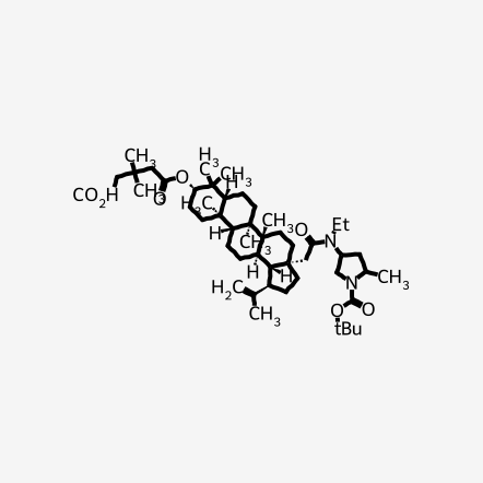 C=C(C)[C@@H]1CC[C@]2(CC(=O)N(CC)C3CC(C)N(C(=O)OC(C)(C)C)C3)CC[C@]3(C)[C@H](CC[C@@H]4[C@@]5(C)CC[C@H](OC(=O)CC(C)(C)CC(=O)O)C(C)(C)[C@@H]5CC[C@]43C)[C@@H]12